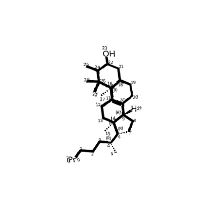 CC(C)CCC[C@@H](C)[C@H]1CC[C@H]2C3=C(CC[C@]12C)[C@]1(C)C(CC3)CC(O)C(C)C1(C)C